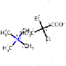 CCC(CC)(C(=O)[O-])C(=O)O.C[N+](C)(C)C